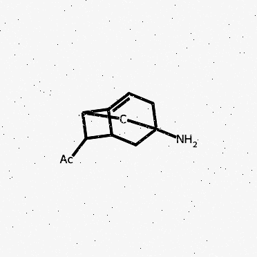 CC(=O)C1C2CC3(N)CC=C2C1C3